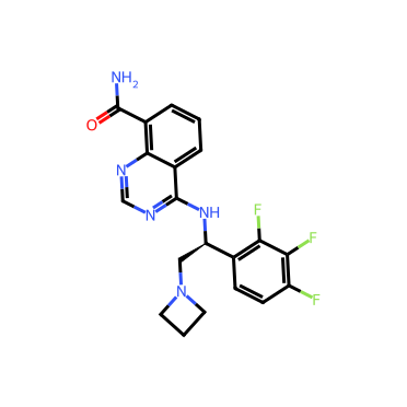 NC(=O)c1cccc2c(N[C@H](CN3CCC3)c3ccc(F)c(F)c3F)ncnc12